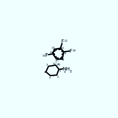 NC1CCCC[C@@H]1c1cc(F)c(F)cc1F